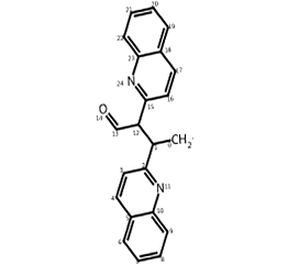 [CH2]C(c1ccc2ccccc2n1)C(C=O)c1ccc2ccccc2n1